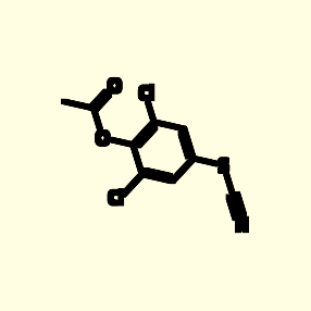 CC(=O)Oc1c(Cl)cc(SC#N)cc1Cl